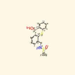 CC(C)(C)[S+]([O-])NCc1ccccc1Sc1ccccc1CO